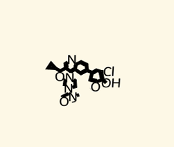 COc1cc(-c2ccc3ncc(C(=O)C4CC4)c(N4CCN(C(C=O)N(C)C)CC4)c3c2)cc(Cl)c1O